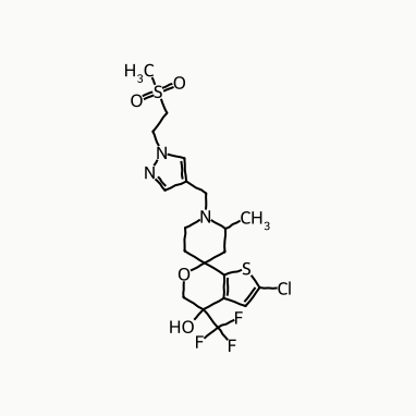 CC1CC2(CCN1Cc1cnn(CCS(C)(=O)=O)c1)OCC(O)(C(F)(F)F)c1cc(Cl)sc12